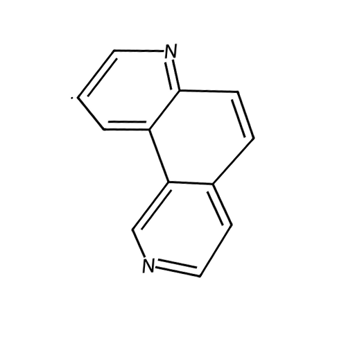 [c]1cnc2ccc3ccncc3c2c1